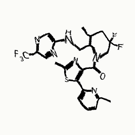 Cc1cccc(-c2sc(C)nc2C(=O)N2CC(F)(F)CC(C)C2CNc2cnc(C(F)(F)F)cn2)n1